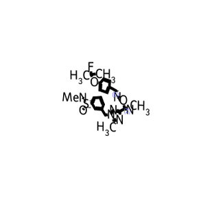 C/N=C(\O/N=C/c1ccc(OC(C)(C)F)cc1)c1nc(C)n(Cc2cccc([S+]([O-])NC)c2)n1